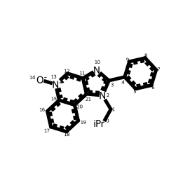 CC(C)Cn1c(-c2ccccc2)nc2c[n+]([O-])c3ccccc3c21